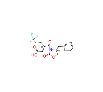 O=C(O)C[C@@H](CCC(F)(F)F)C(=O)N1C(=O)OC[C@@H]1Cc1ccccc1